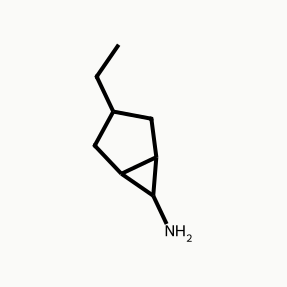 CCC1CC2C(N)C2C1